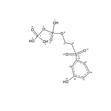 O=P(O)(O)OP(=O)(O)OCCS(=O)(=O)c1cccc(O)c1